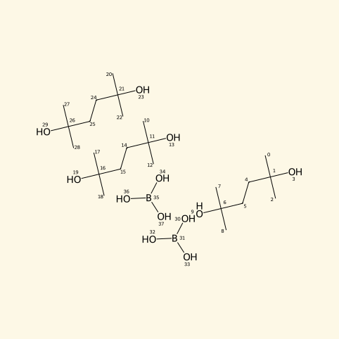 CC(C)(O)CCC(C)(C)O.CC(C)(O)CCC(C)(C)O.CC(C)(O)CCC(C)(C)O.OB(O)O.OB(O)O